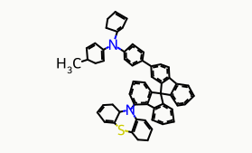 CC1C=CC(N(C2=CC=CCC2)c2ccc(-c3ccc4c(c3)C3(c5ccccc5-4)c4ccccc4-c4c(N5C6=C(CCC=C6)SC6=CC=CCC65)cccc43)cc2)=CC1